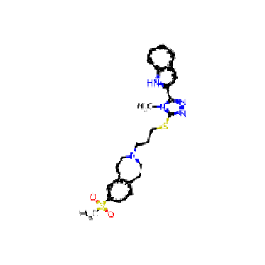 Cn1c(SCCCN2CCc3ccc(S(C)(=O)=O)cc3CC2)nnc1-c1cc2ccccc2[nH]1